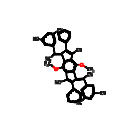 N#CC1=C(c2ccccc2)/C(=C(/C#N)c2cc(C#N)cc(C#N)c2)c2c(OC(F)(F)F)c3c(c(OC(F)(F)F)c21)/C(=C(\C#N)c1cc(C#N)cc(C#N)c1)C(c1ccccc1)=C3C#N